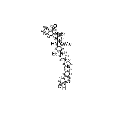 CCc1cc(Nc2ncc(Br)c(Nc3ccc4nccnc4c3P(C)(C)=O)n2)c(OC)cc1N1CCC(N2CCN(Cc3ccc(C4CCC(=O)NC4=O)c(F)c3)CC2)CC1